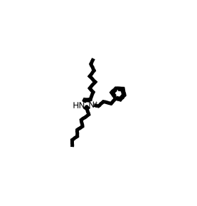 CCCCCCCc1c[nH]c(CCCCCCC)[n+]1CCCc1ccccc1